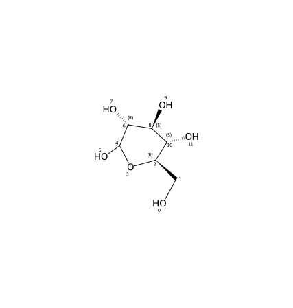 OC[C@H]1O[C](O)[C@H](O)[C@@H](O)[C@@H]1O